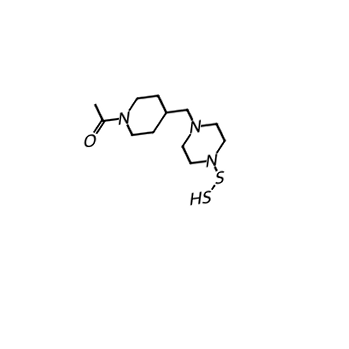 CC(=O)N1CCC(CN2CCN(SS)CC2)CC1